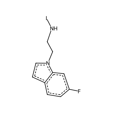 Fc1ccc2ccn(CCNI)c2c1